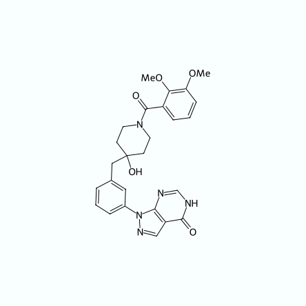 COc1cccc(C(=O)N2CCC(O)(Cc3cccc(-n4ncc5c(=O)[nH]cnc54)c3)CC2)c1OC